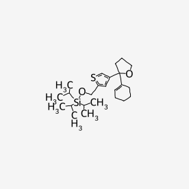 CC(C)[Si](OCc1cc(C2(C3=CCCCC3)CCCO2)cs1)(C(C)C)C(C)C